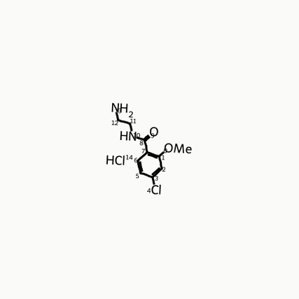 COc1cc(Cl)ccc1C(=O)NCCN.Cl